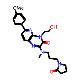 COc1ccc(-c2ccc3nc(N(C)CCCN4CCCC4=O)c(=O)n(CCO)c3n2)cc1